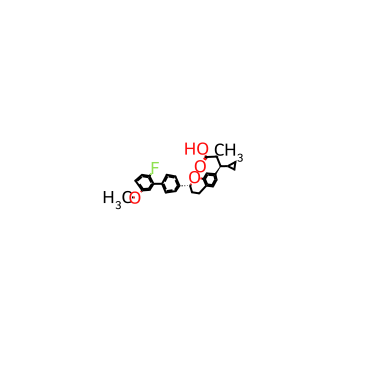 COc1ccc(F)c(-c2ccc([C@H]3CCc4ccc([C@H](C5CC5)[C@H](C)C(=O)O)cc4O3)cc2)c1